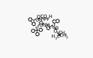 CC(C)[C@H](C(=O)O)N(C(=O)OCC1c2ccccc2-c2ccccc21)C(/C=C/CCSC(c1ccccc1)(c1ccccc1)c1ccccc1)CC(=O)NCc1cccc(CN(CC(=O)OCC[Si](C)(C)C)Cc2cccc3ccccc23)n1